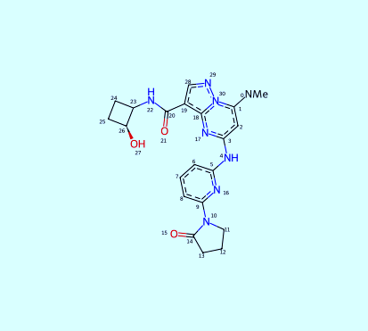 CNc1cc(Nc2cccc(N3CCCC3=O)n2)nc2c(C(=O)NC3CC[C@@H]3O)cnn12